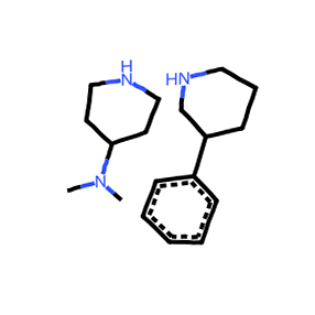 CN(C)C1CCNCC1.c1ccc(C2CCCNC2)cc1